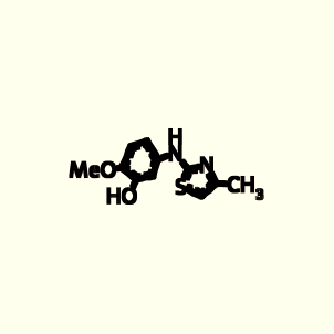 COc1ccc(Nc2nc(C)cs2)cc1O